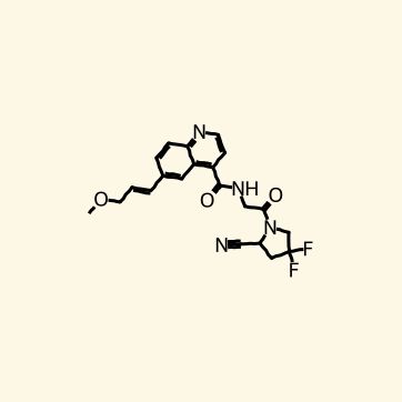 COCC=Cc1ccc2nccc(C(=O)NCC(=O)N3CC(F)(F)CC3C#N)c2c1